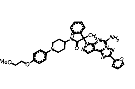 COCCOc1ccc(N2CCC(NC(=O)C(C)(c3ccccc3)n3ncc4c3nc(N)n3nc(-c5ccco5)nc43)CC2)cc1